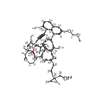 COCOc1cc(-c2ncc3c(N4CCOCC(C)(O)C4)nc(OCC4(CO)CC4)nc3c2F)c2c(C#C[Si](C(C)C)(C(C)C)C(C)C)c(F)ccc2c1